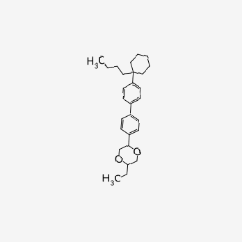 CCCCC1(c2ccc(-c3ccc(C4COC(CC)CO4)cc3)cc2)CCCCC1